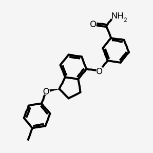 Cc1ccc(O[C@@H]2CCc3c(Oc4cccc(C(N)=O)c4)cccc32)cc1